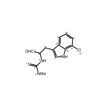 CNC(=S)NC(C=O)Cc1c[nH]c2c(Cl)cccc12